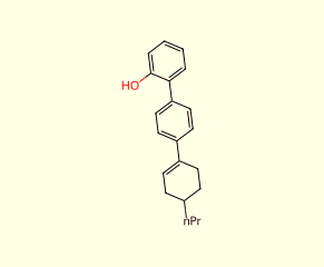 CCCC1CC=C(c2ccc(-c3ccccc3O)cc2)CC1